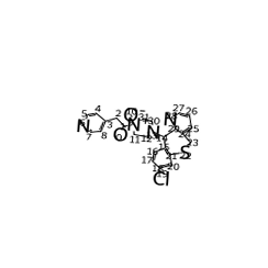 O=C(Cc1ccncc1)[N+]1([O-])CCN(C2c3ccc(Cl)cc3SCc3cccnc32)CC1